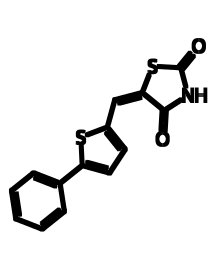 O=C1NC(=O)/C(=C\c2ccc(-c3ccccc3)s2)S1